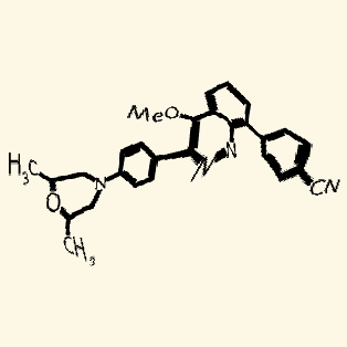 COc1c(-c2ccc(N3CC(C)OC(C)C3)cc2)nnc2c(-c3ccc(C#N)cc3)cccc12